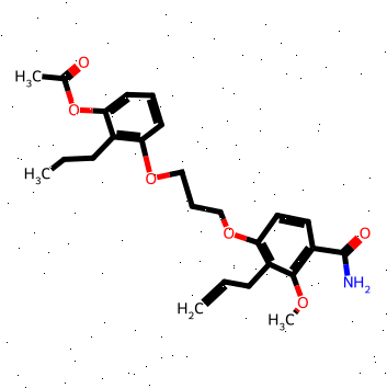 C=CCc1c(OCCCOc2cccc(OC(C)=O)c2CCC)ccc(C(N)=O)c1OC